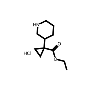 CCOC(=O)C1(C2CCCNC2)CC1.Cl